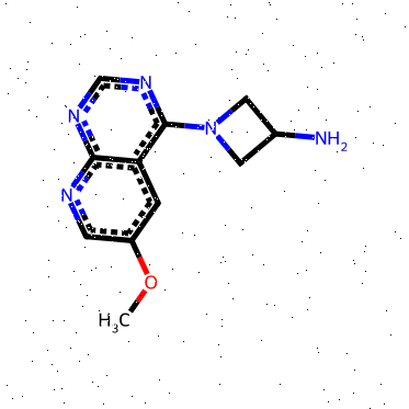 COc1cnc2ncnc(N3CC(N)C3)c2c1